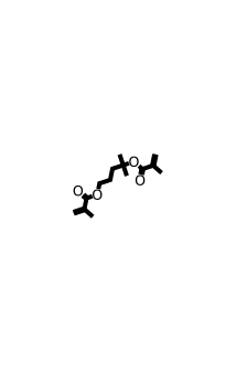 C=C(C)C(=O)OCCCC(C)(C)OC(=O)C(=C)C